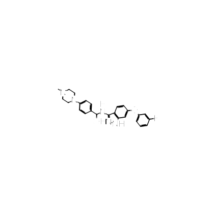 CN1CCN(c2ccc(C(O)Nc3n[nH]c4cc(Oc5cccc(F)c5)ccc34)cc2)CC1